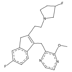 COc1nccnc1CC1=C(CCN2CCC(F)C2)Cc2cc(F)ccc21